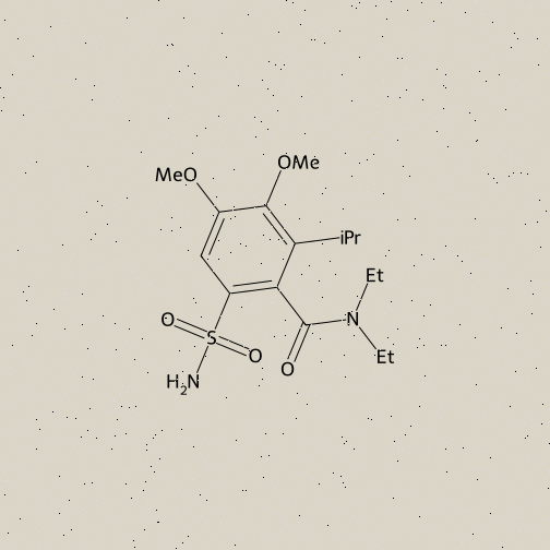 CCN(CC)C(=O)c1c(S(N)(=O)=O)cc(OC)c(OC)c1C(C)C